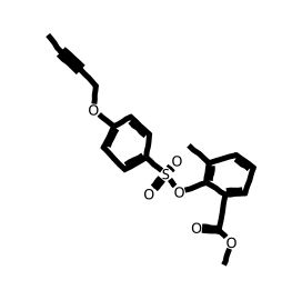 CC#CCOc1ccc(S(=O)(=O)Oc2c(C)cccc2C(=O)OC)cc1